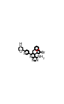 Nc1ncnc2nc(-c3ccc(C4CNCCO4)nc3)c(Cc3ccccc3)c(-c3cc(Br)cs3)c12